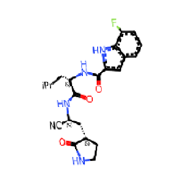 CC(C)C[C@H](NC(=O)c1cc2cccc(F)c2[nH]1)C(=O)N[C@H](C#N)C[C@@H]1CCNC1=O